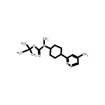 Cc1cnnc(C2CCC(N(C)C(=O)OC(C)(C)C)CC2)c1